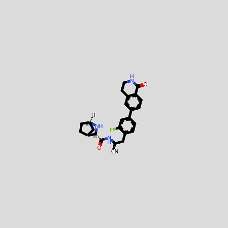 N#CC(Cc1ccc(-c2ccc3c(c2)CCNC3=O)cc1F)NC(=O)[C@H]1N[C@@H]2CCC1C2